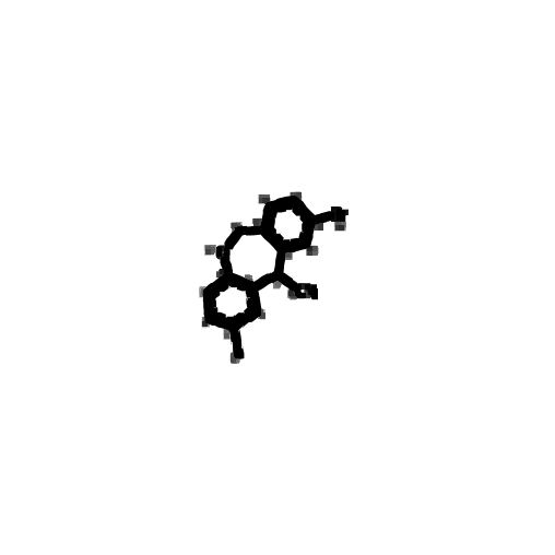 Cc1ccc2c(c1)C(C#N)c1cc(Br)ccc1CO2